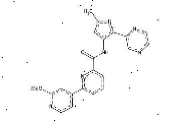 COc1cc(-c2cccc(C(=O)Nc3cn(C)nc3-c3cnccn3)n2)ccn1